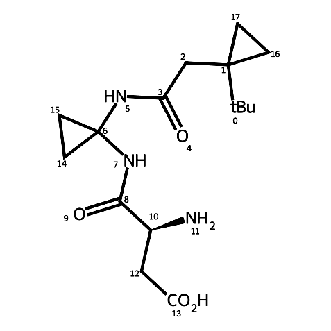 CC(C)(C)C1(CC(=O)NC2(NC(=O)[C@@H](N)CC(=O)O)CC2)CC1